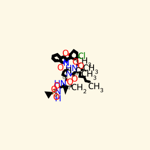 C=C[C@@H]1C[C@]1(NC(=O)[C@@H]1CC(Oc2nc3c4c(oc3c3ccccc23)C=CC(C)(Cl)C4)CN1C(=O)[C@H](CCCCCC)NC(=O)OC(C)(C)C)C(=O)NS(=O)(=O)C1CC1